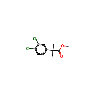 COC(=O)C(C)(C)c1ccc(Cl)c(Cl)c1